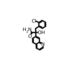 NC(=O)C(O)(Cc1ccccc1Cl)c1ccc2cccnc2c1